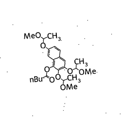 CCCCC(=O)Oc1c(OC(C)OC)c(OC(C)OC)cc2ccc(OC(C)OC)cc12